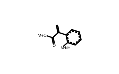 C=C(C(=O)OC)c1ccccc1NC(C)=O